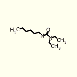 CCCCCC[N]C(=O)N(CC)CC